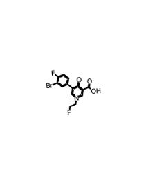 O=C(O)c1cn(CCF)cc(-c2ccc(F)c(Br)c2)c1=O